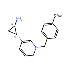 COc1ccc(CN2C=C([C@@H]3C[C@H]3N)C=CC2)cc1